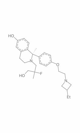 CCC1CN(CCOc2ccc([C@]3(C)c4ccc(O)cc4CCN3CC(C)(F)CO)cc2)C1